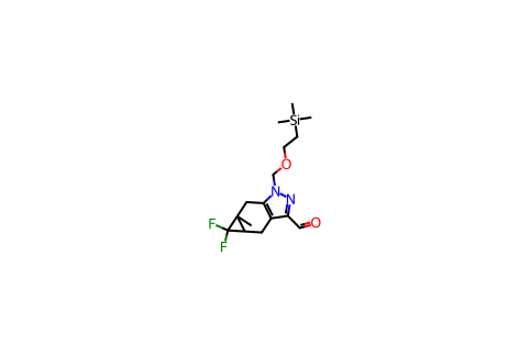 CC12Cc3c(c(C=O)nn3COCC[Si](C)(C)C)CC1C2(F)F